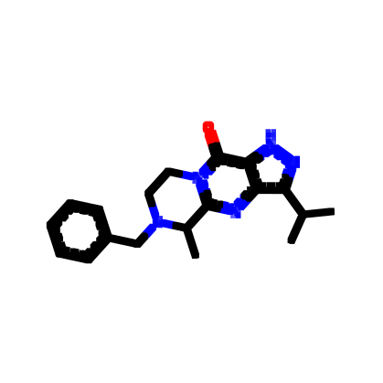 CC(C)c1n[nH]c2c(=O)n3c(nc12)C(C)N(Cc1ccccc1)CC3